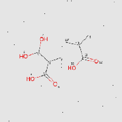 CC(C(=O)O)C(O)O.CC(C)C(=O)O